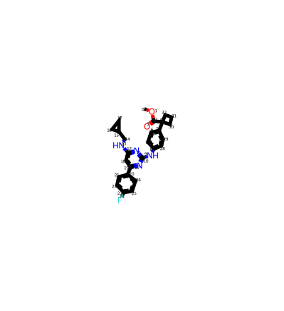 COC(=O)C1(c2ccc(Nc3nc(NCC4CC4)cc(-c4ccc(F)cc4)n3)cc2)CCC1